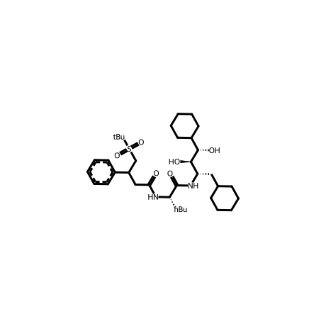 CCCC[C@H](NC(=O)CC(CS(=O)(=O)C(C)(C)C)c1ccccc1)C(=O)N[C@@H](CC1CCCCC1)[C@@H](O)[C@@H](O)C1CCCCC1